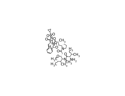 CC[C@H](C)[C@@H]([C@@H](CC(=O)N1CCC[C@H]1[C@H](OC)[C@@H](C)C(=O)N[C@@H](Cc1ccccc1)C(=O)NS(=O)(=O)C1CC1)OC)N(C)C(=O)[C@@H](N)C(C)C